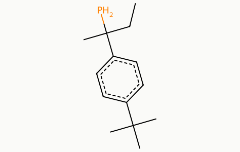 CCC(C)(P)c1ccc(C(C)(C)C)cc1